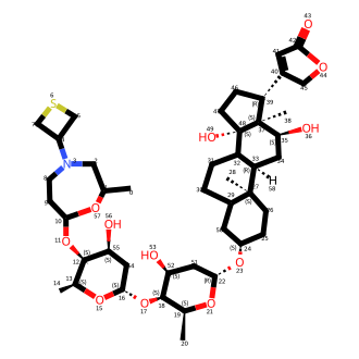 CC1CN(C2CSC2)CCC(O[C@@H]2[C@H](C)O[C@@H](O[C@@H]3[C@H](C)O[C@@H](O[C@H]4CC[C@@]5(C)C(CCC6[C@H]5C[C@H](O)[C@]5(C)[C@@H](C7=CC(=O)OC7)CC[C@]65O)C4)C[C@@H]3O)C[C@@H]2O)O1